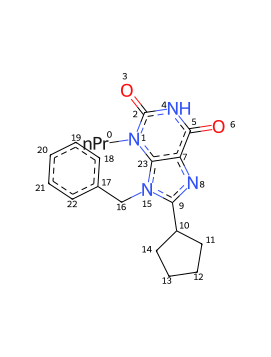 CCCn1c(=O)[nH]c(=O)c2nc(C3CCCC3)n(Cc3ccccc3)c21